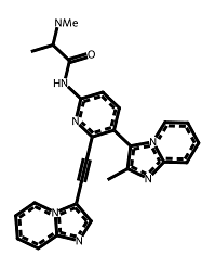 CNC(C)C(=O)Nc1ccc(-c2c(C)nc3ccccn23)c(C#Cc2cnc3ccccn23)n1